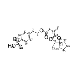 C=C(CC(=O)OCCc1ccc(S(=O)(=O)O)cc1)C(=O)OC1(CC)CCCC1